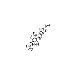 CC(=O)NCC(C)c1c(F)c(C(F)(F)F)c(-c2cn3cc(NC(=O)[C@@H]4C[C@@H]4F)nc3cn2)c2cn[nH]c12